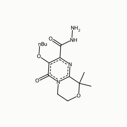 CCCCOc1c(C(=O)NN)nc2n(c1=O)CCOC2(C)C